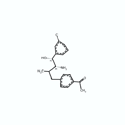 CC(=O)c1ccc(CC(C)[C@@H](N)[C@H](O)c2cccc(Cl)c2)cc1